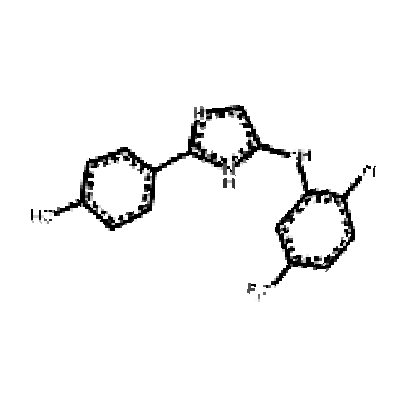 Oc1ccc(-c2ncc(Nc3cc(C(F)(F)F)ccc3Cl)[nH]2)cc1